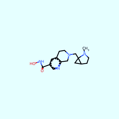 CN1CCC2CC21CN1CCc2cc(C(=O)NO)cnc2C1